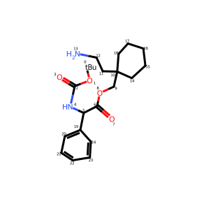 CC(C)(C)OC(=O)NC(C(=O)OCC1(CCN)CCCCC1)c1ccccc1